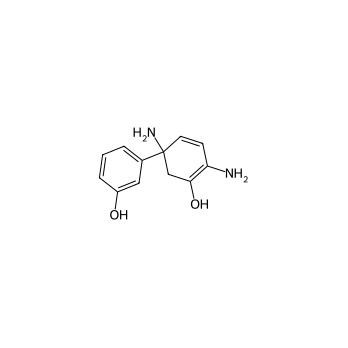 NC1=C(O)CC(N)(c2cccc(O)c2)C=C1